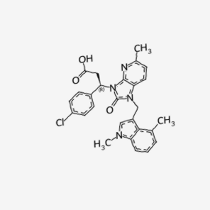 Cc1ccc2c(n1)n([C@H](CC(=O)O)c1ccc(Cl)cc1)c(=O)n2Cc1cn(C)c2cccc(C)c12